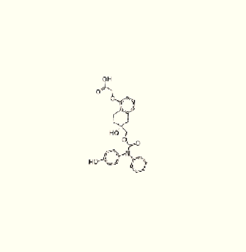 O=C(O)COc1cccc2c1CC[C@](O)(COC(=O)N(c1ccccc1)c1ccc(O)cc1)C2